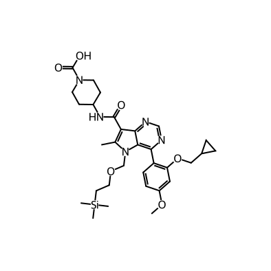 COc1ccc(-c2ncnc3c(C(=O)NC4CCN(C(=O)O)CC4)c(C)n(COCC[Si](C)(C)C)c23)c(OCC2CC2)c1